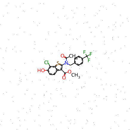 COC(=O)c1c(N(Cc2ccc(C(F)(F)F)cc2)C(C)=O)sc2c(Cl)c(O)ccc12